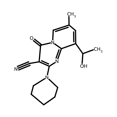 Cc1cc(C(C)O)c2nc(N3CCCCC3)c(C#N)c(=O)n2c1